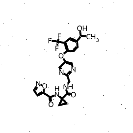 CC(O)c1ccc(Oc2cnc(CNC(=O)C3(NC(=O)c4ccno4)CC3)nc2)c(C(F)(F)F)c1